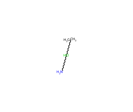 CC(C)CCCCCCCCCCCCCCCCCCCCCN.Cl